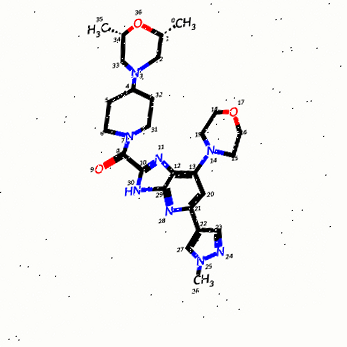 C[C@@H]1CN(C2CCN(C(=O)c3nc4c(N5CCOCC5)cc(-c5cnn(C)c5)nc4[nH]3)CC2)C[C@H](C)O1